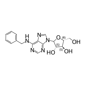 OC[C@H]1OC(n2cnc3c(NCc4ccccc4)ncnc32)[C@@H](O)[C@@H]1O